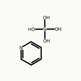 O[Si](O)(O)O.c1ccncc1